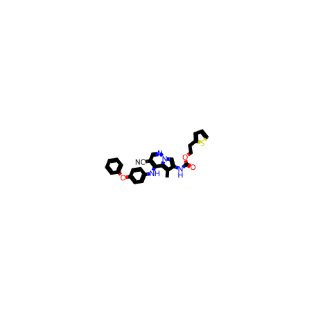 Cc1c(NC(=O)OCCc2cccs2)cn2ncc(C#N)c(Nc3ccc(Oc4ccccc4)cc3)c12